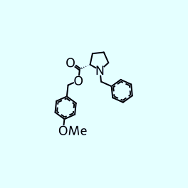 COc1ccc(COC(=O)[C@@H]2CCCN2Cc2ccccc2)cc1